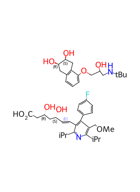 CC(C)(C)NCC(O)COc1cccc2c1C[C@H](O)[C@H](O)C2.COCc1c(C(C)C)nc(C(C)C)c(/C=C/[C@@H](O)C[C@@H](O)CC(=O)O)c1-c1ccc(F)cc1